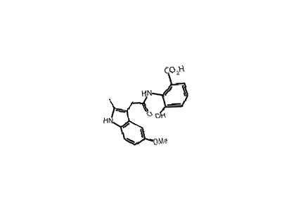 COc1ccc2[nH]c(C)c(CC(=O)Nc3c(O)cccc3C(=O)O)c2c1